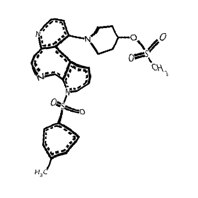 Cc1ccc(S(=O)(=O)n2ccc3c4c(N5CCC(OS(C)(=O)=O)CC5)ccnc4cnc32)cc1